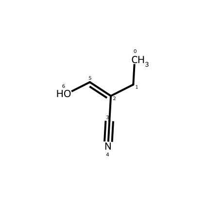 CCC(C#N)=CO